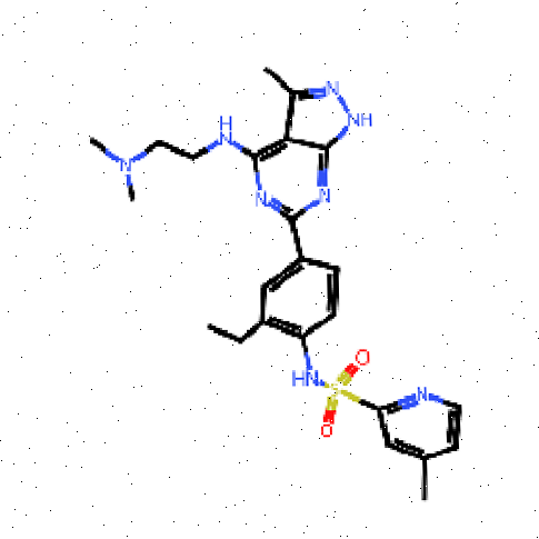 CCc1cc(-c2nc(NCCN(C)C)c3c(C)n[nH]c3n2)ccc1NS(=O)(=O)c1cc(C)ccn1